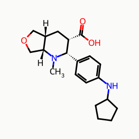 CN1[C@@H]2COC[C@@H]2C[C@H](C(=O)O)[C@@H]1c1ccc(NC2CCCC2)cc1